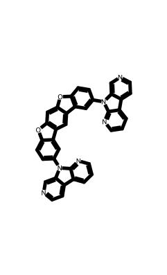 c1cnc2c(c1)c1ccncc1n2-c1ccc2oc3cc4oc5ccc(-n6c7cnccc7c7cccnc76)cc5c4cc3c2c1